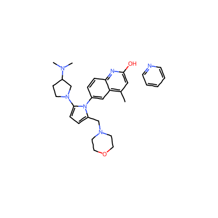 Cc1cc(O)nc2ccc(-n3c(CN4CCOCC4)ccc3N3CCC(N(C)C)C3)cc12.c1ccncc1